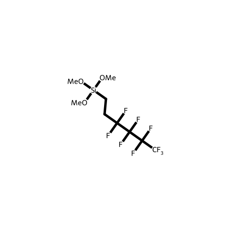 CO[Si](CCC(F)(F)C(F)(F)C(F)(F)C(F)(F)F)(OC)OC